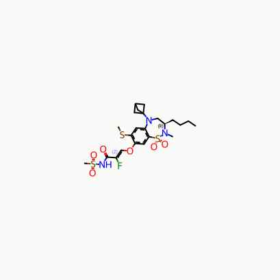 CCCC[C@@H]1CN(C23CC(C2)C3)c2cc(SC)c(O/C=C(\F)C(=O)NS(C)(=O)=O)cc2S(=O)(=O)N1C